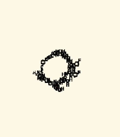 CC(C)(O)[C@@H]1NC(=O)CCSCc2cccc(c2)CSC[C@@H](C(N)=O)NC(=O)[C@]2(C)CCCN2C(=O)[C@H](Cc2ccc(O)cc2)NC(=O)[C@H](Cc2cnc[nH]2)NC(=O)[C@H](CC(=O)O)NC(=O)[C@H](Cc2c[nH]c3ccc(F)cc23)NC(=O)[C@H](Cc2c[nH]c3ccc(F)cc23)NC(=O)CNC1=O